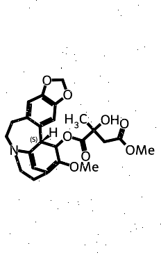 COC(=O)CC(C)(O)C(=O)OC1C(OC)=C2C=C3[C@@H]1c1cc4c(cc1CCN3CC2)OCO4